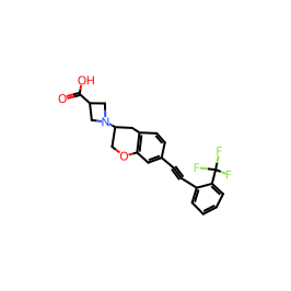 O=C(O)C1CN(C2COc3cc(C#Cc4ccccc4C(F)(F)F)ccc3C2)C1